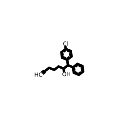 C#CCCCC(O)C(c1ccccc1)c1ccc(Cl)cc1